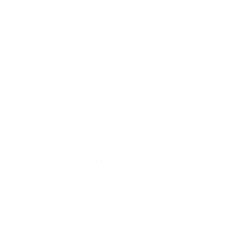 CC1CCC(COCc2ccccc2)CO1